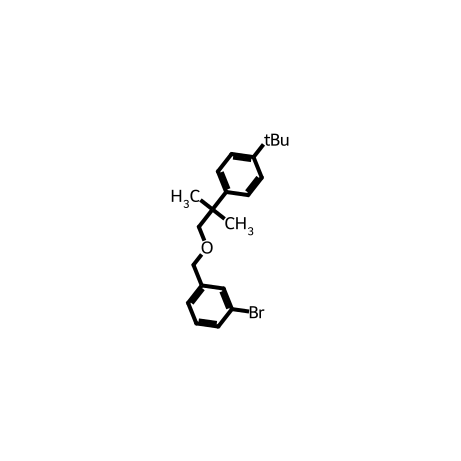 CC(C)(C)c1ccc(C(C)(C)COCc2cccc(Br)c2)cc1